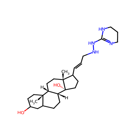 C[C@]12CCC(O)CC1CC[C@@H]1[C@H]2CC[C@]2(C)C(/C=C/CNNC3=NCCCN3)CC[C@@]12O